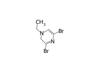 CCN1C=C(Br)N=C(Br)C1